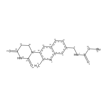 Cc1nc2cc(CNC(=O)OC(C)(C)C)ccc2cc1N1CCC(=O)NC1=O